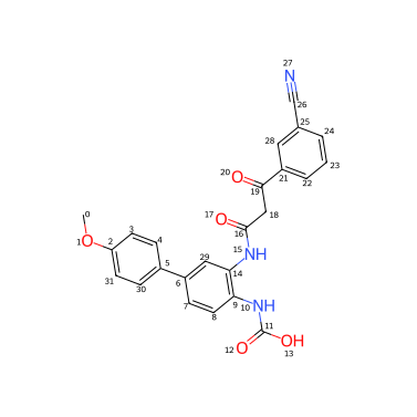 COc1ccc(-c2ccc(NC(=O)O)c(NC(=O)CC(=O)c3cccc(C#N)c3)c2)cc1